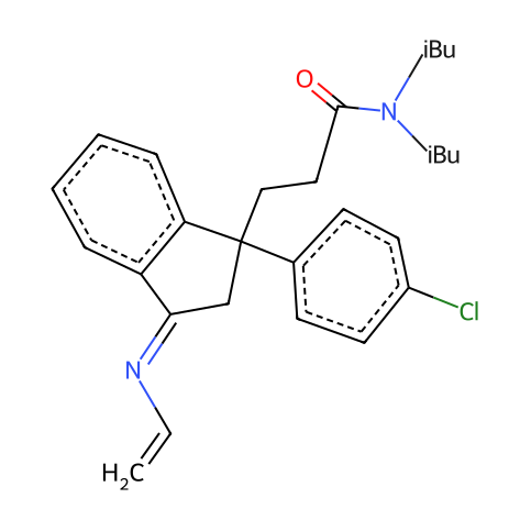 C=C/N=C1\CC(CCC(=O)N(C(C)CC)C(C)CC)(c2ccc(Cl)cc2)c2ccccc21